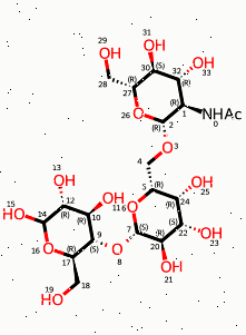 CC(=O)N[C@H]1[C@H](OC[C@H]2O[C@@H](O[C@H]3[C@H](O)[C@@H](O)C(O)O[C@@H]3CO)[C@H](O)[C@@H](O)[C@H]2O)O[C@H](CO)[C@@H](O)[C@@H]1O